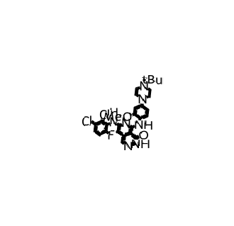 COc1cc(N2CCN(C(C)(C)C)CC2)ccc1Nc1nc(Nc2c(F)ccc(Cl)c2Cl)cc2cn[nH]c(=O)c12